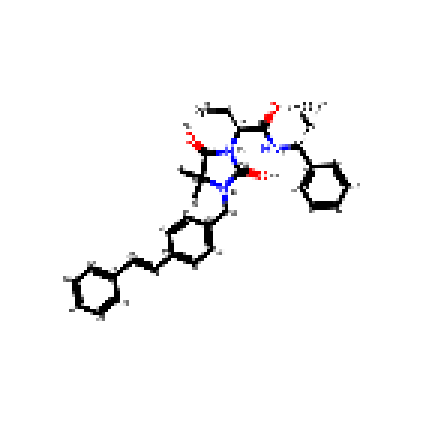 CC(C)C[C@@H](C(=O)N[C@H](CC(=O)O)c1ccccc1)N1C(=O)N(Cc2ccc(C=Cc3ccccc3)cc2)C(C)(C)C1=O